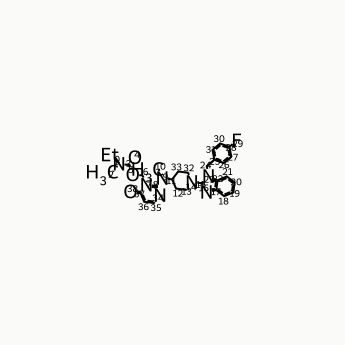 CCN(C)C(=O)OCn1c(N(C)C2CCN(c3nc4ccccc4n3Cc3ccc(F)cc3)CC2)nccc1=O